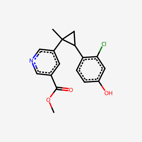 COC(=O)c1cncc(C2(C)CC2c2ccc(O)cc2Cl)c1